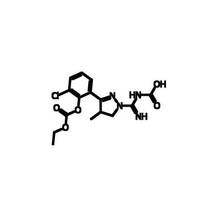 CCOC(=O)Oc1c(Cl)cccc1C1=NN(C(=N)NC(=O)O)CC1C